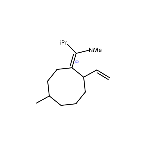 C=CC1CCCC(C)CC/C1=C(/NC)C(C)C